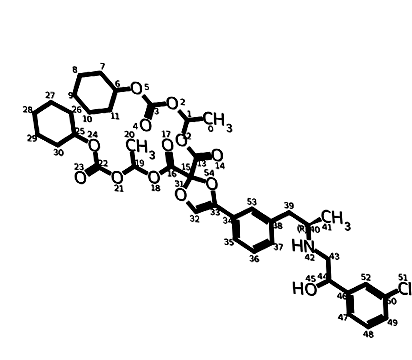 CC(OC(=O)OC1CCCCC1)OC(=O)C1(C(=O)OC(C)OC(=O)OC2CCCCC2)OC=C(c2cccc(C[C@@H](C)NCC(O)c3cccc(Cl)c3)c2)O1